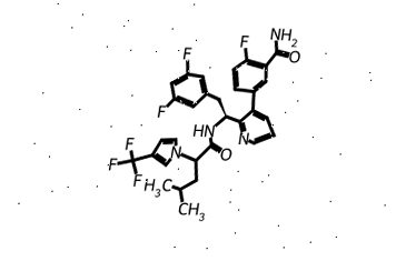 CC(C)CC(C(=O)N[C@@H](Cc1cc(F)cc(F)c1)c1ncccc1-c1ccc(F)c(C(N)=O)c1)n1ccc(C(F)(F)F)c1